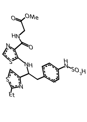 CCc1nc(C(Cc2[c]cc(NS(=O)(=O)O)cc2)Nc2scnc2C(=O)NCC(=O)OC)cs1